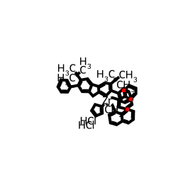 Cl.Cl.[CH2]=[Zr]([CH2]c1cccc2ccccc12)([CH2]c1cccc2ccccc12)([C]1=CC=CC1)[c]1c2c(cc(C(C)(C)C)c1-c1ccccc1)-c1cc(C(C)(C)C)c(-c3ccccc3)cc1C2